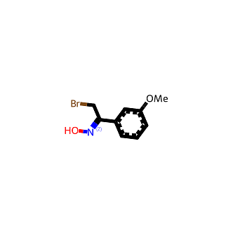 COc1cccc(/C(CBr)=N/O)c1